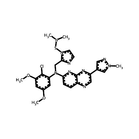 COc1cc(OC)c(Cl)c(N(Cc2nccn2SN(C)C)c2ccc3ncc(-c4cnn(C)c4)nc3n2)c1